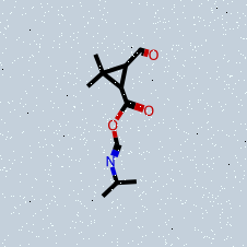 CC(C)N=COC(=O)C1C(C=O)C1(C)C